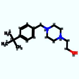 CC(C)(C)c1ccc(CN2CCN(CCO)CC2)cc1